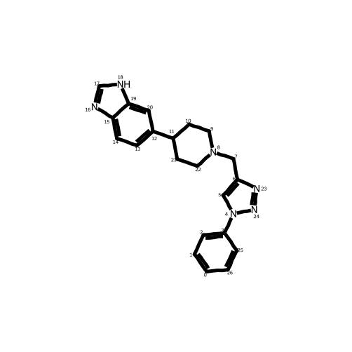 c1ccc(-n2cc(CN3CCC(c4ccc5nc[nH]c5c4)CC3)nn2)cc1